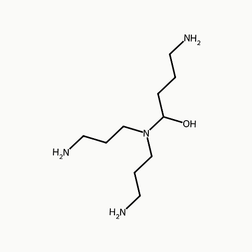 NCCCC(O)N(CCCN)CCCN